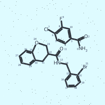 NC(=O)c1ccc(Cl)c(F)c1.O=C(NCc1ccccc1Br)C1COc2ccccc2C1